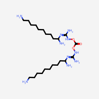 NCCCCCCCCCC(N)N=C(N)NOC(=O)ONC(N)=NC(N)CCCCCCCCCN